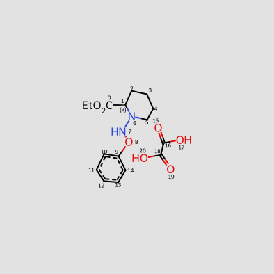 CCOC(=O)[C@H]1CCCCN1NOc1ccccc1.O=C(O)C(=O)O